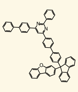 c1ccc(-c2ccc(-c3cc(-c4ccc(-c5ccc(C6(c7ccc8c(c7)oc7ccccc78)c7ccccc7-c7ccccc76)cc5)cc4)nc(-c4ccccc4)n3)cc2)cc1